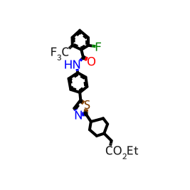 CCOC(=O)CC1CCC(c2ncc(-c3ccc(NC(=O)c4c(F)cccc4C(F)(F)F)cc3)s2)CC1